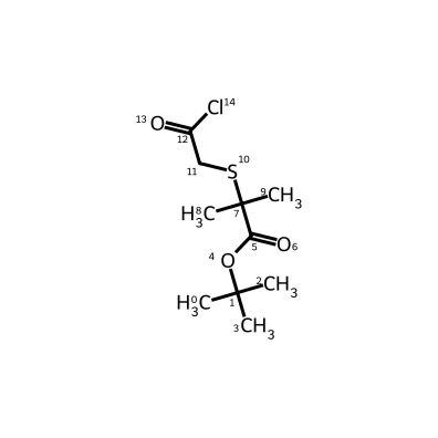 CC(C)(C)OC(=O)C(C)(C)SCC(=O)Cl